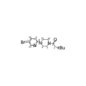 CC(C)(C)CC(=O)N1CCN(c2ccc(Br)cn2)CC1